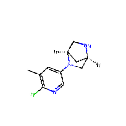 Cc1cc(N2C[C@H]3C[C@@H]2CN3)cnc1Cl